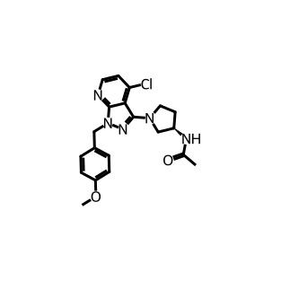 COc1ccc(Cn2nc(N3CC[C@@H](NC(C)=O)C3)c3c(Cl)ccnc32)cc1